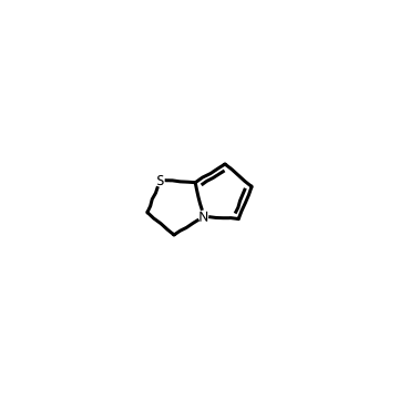 c1cc2n(c1)CCS2